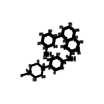 CN1CCN(c2ccc(Nc3ncc4cccc(-c5cccc(N)c5)c4n3)cc2)CC1